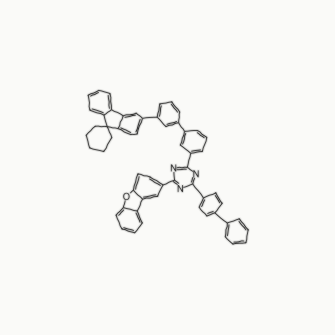 c1ccc(-c2ccc(-c3nc(-c4cccc(-c5cccc(-c6ccc7c(c6)-c6ccccc6C76CCCCC6)c5)c4)nc(-c4ccc5oc6ccccc6c5c4)n3)cc2)cc1